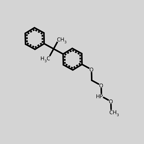 COPOCOc1ccc(C(C)(C)c2ccccc2)cc1